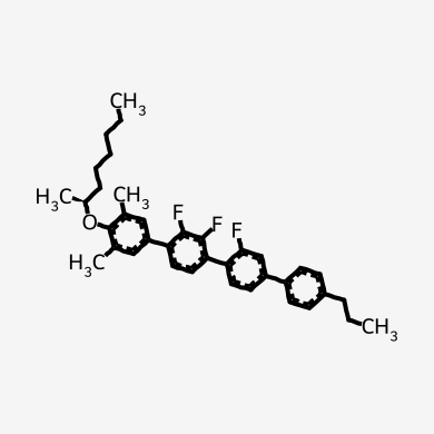 CCCCCC[C@H](C)Oc1c(C)cc(-c2ccc(-c3ccc(-c4ccc(CCC)cc4)cc3F)c(F)c2F)cc1C